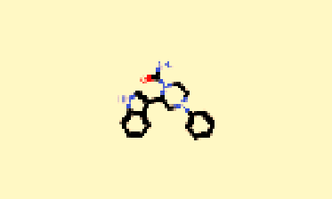 NC(=O)N1CCN(c2ccccc2)CC1c1c[nH]c2ccccc12